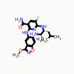 COc1noc2ccc(Nc3nc(N[C@H](CC(C)C)[C@H](C)N)c(F)cc3C(N)=O)cc12